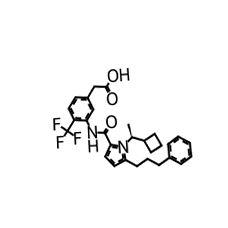 C[C@@H](C1CCC1)n1c(CCCc2ccccc2)ccc1C(=O)Nc1cc(CC(=O)O)ccc1C(F)(F)F